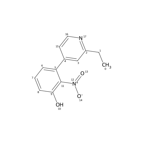 CCc1cc(-c2cccc(O)c2[N+](=O)[O-])ccn1